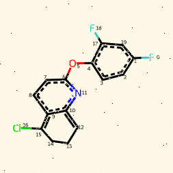 Fc1ccc(Oc2ccc3c(n2)=CCCC=3Cl)c(F)c1